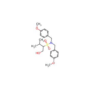 COc1ccc(CN(Cc2ccc(OC)cc2)S(=O)(=O)C(CO)C(C)C)cc1